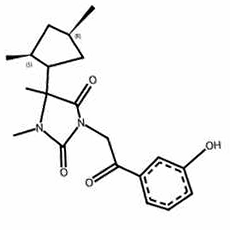 C[C@H]1CC(C2(C)C(=O)N(CC(=O)c3cccc(O)c3)C(=O)N2C)[C@@H](C)C1